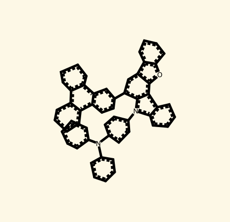 c1ccc(N(c2ccccc2)c2ccc(-n3c4ccccc4c4c5oc6ccccc6c5cc(-c5ccc6c7ccccc7c7ccccc7c6c5)c43)cc2)cc1